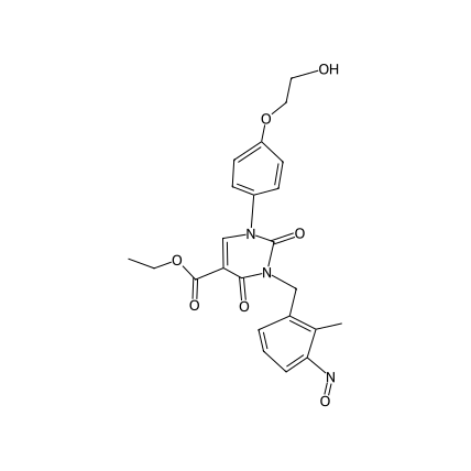 CCOC(=O)c1cn(-c2ccc(OCCO)cc2)c(=O)n(Cc2cccc(N=O)c2C)c1=O